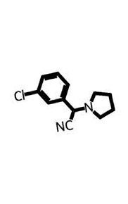 N#CC(c1cccc(Cl)c1)N1CCCC1